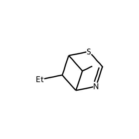 CCC1C2N=CSC1C2C